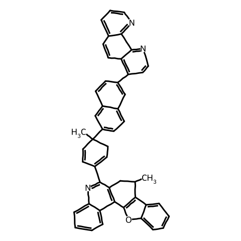 CC1Cc2c(C3=CCC(C)(c4ccc5cc(-c6ccnc7c6ccc6cccnc67)ccc5c4)C=C3)nc3ccccc3c2-c2oc3ccccc3c21